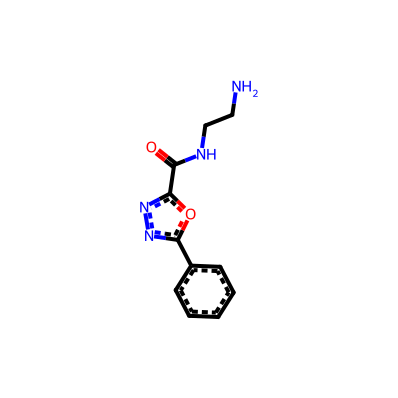 NCCNC(=O)c1nnc(-c2ccccc2)o1